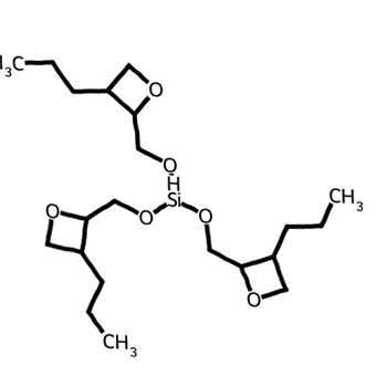 CCCC1COC1CO[SiH](OCC1OCC1CCC)OCC1OCC1CCC